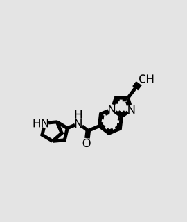 C#Cc1cn2cc(C(=O)NC3CC4CNC3C4)ccc2n1